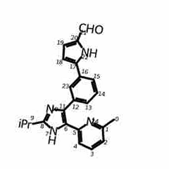 Cc1cccc(-c2[nH]c(C(C)C)nc2-c2cccc(-c3ccc(C=O)[nH]3)c2)n1